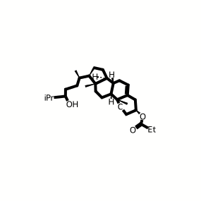 CCC(=O)O[C@H]1CC[C@@]2(C)C(=CC[C@H]3[C@@H]4CC[C@H]([C@H](C)CCC(O)C(C)C)[C@@]4(C)CC[C@@H]32)C1